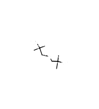 CC(C)(N)COCC(C)(C)O